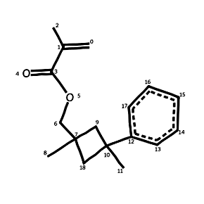 C=C(C)C(=O)OCC1(C)CC(C)(c2ccccc2)C1